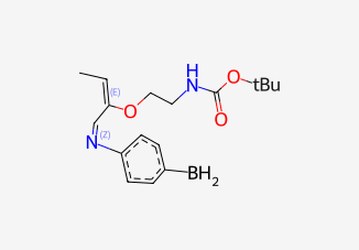 Bc1ccc(/N=C\C(=C/C)OCCNC(=O)OC(C)(C)C)cc1